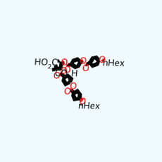 CCCCCCOc1ccc(C(=O)Oc2ccc(C(=O)O[C@H](CC(=O)O)[C@H](OC(=O)c3ccc(OC(=O)c4ccc(OCCCCCC)cc4)cc3)C(C)(C)C(=O)O)cc2)cc1